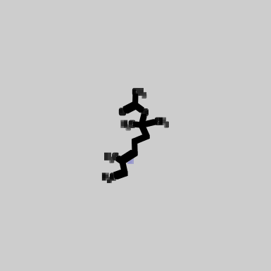 C=C/C(C)=C/CCC(C)(C)OC(C)=O